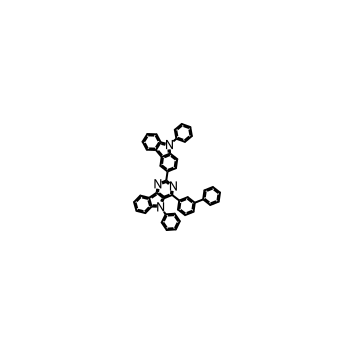 c1ccc(-c2cccc(-c3nc(-c4ccc5c(c4)c4ccccc4n5-c4ccccc4)nc4c5ccccc5n(-c5ccccc5)c34)c2)cc1